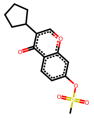 CS(=O)(=O)Oc1ccc2c(=O)c(C3CCCC3)coc2c1